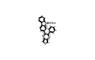 CCCCCCn1c2ccccc2c2ccc(-c3nc4cscc4nc3-c3ccccc3)cc21